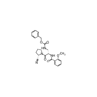 COc1ccccc1C(=O)N[C@@H](CNC(=O)OCc1ccccc1)C(=O)N1CCC[C@H]1C#N